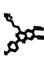 COc1cc2nc(-c3ccc(Br)cc3)nc(CCCCN)c2cc1OC